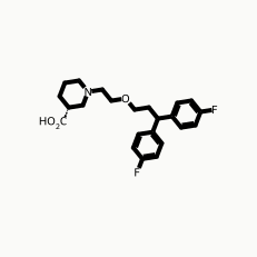 O=C(O)[C@@H]1CCCN(CCOCCC(c2ccc(F)cc2)c2ccc(F)cc2)C1